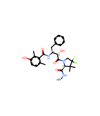 CCCNC(=O)[C@H]1N(C(=O)[C@@H](O)[C@H](Cc2ccccc2)NC(=O)c2c(C)ccc(O)c2C)CC(F)(F)C1(C)C